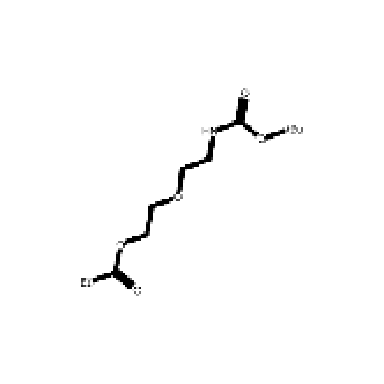 CCC(=O)OCCOCCNC(=O)OC(C)(C)C